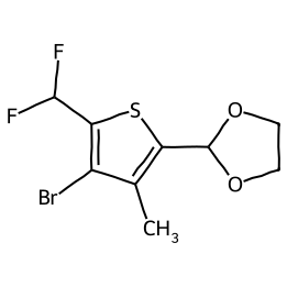 Cc1c(C2OCCO2)sc(C(F)F)c1Br